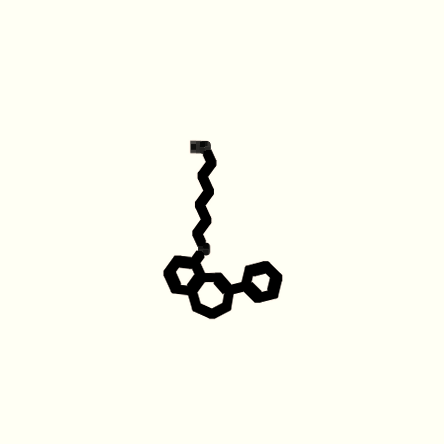 OCCCCCCOc1cccc2c1C=C(c1ccccc1)CCC2